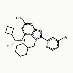 CC(C)c1ccnc(-c2nc3nc(C=O)nc(N[C@H](C)C4CCC4)c3n2CC2CCCCC2)c1